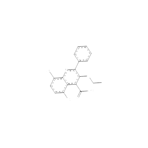 CCSc1c(-c2ccccc2)nc2c(Cl)ccc(Cl)c2c1C(=O)O